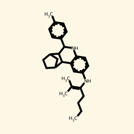 CCCCC(Nc1ccc2c(c1)C1C3CCC(C3)C1C(c1ccc(C)cc1)N2)=C(C)C